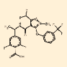 CC(NC(=O)c1c(C(F)F)nn(C)c1Oc1cccc(C(F)(F)F)c1)c1cc(F)c(C(=O)O)c(F)c1